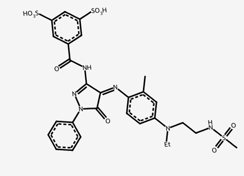 CCN(CCNS(C)(=O)=O)c1ccc(/N=C2\C(=O)N(c3ccccc3)N=C2NC(=O)c2cc(S(=O)(=O)O)cc(S(=O)(=O)O)c2)c(C)c1